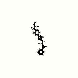 CCNC(=O)c1cnc(N2CC(CNC3CC3c3ccccc3)C2)cn1